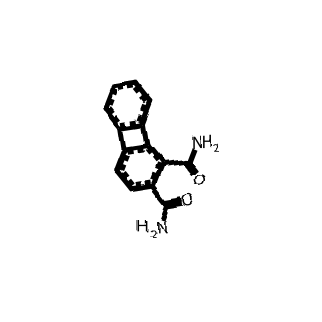 NC(=O)c1ccc2c(c1C(N)=O)-c1ccccc1-2